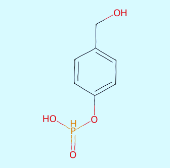 O=[PH](O)Oc1ccc(CO)cc1